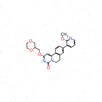 COc1ncccc1-c1ccc2c(c1)CCn1c-2cc(OCC2COCCO2)nc1=O